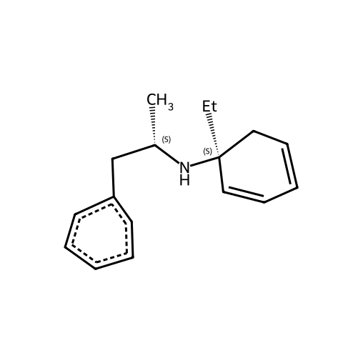 CC[C@@]1(N[C@@H](C)Cc2ccccc2)C=CC=CC1